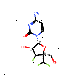 Nc1ccn([C@@H]2O[C@@](CO)(C(F)F)C(F)[C@H]2O)c(=O)n1